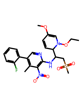 CCON1C=C(OC)C=CC1C(CS(C)(=O)=O)Nc1ncc(-c2ccccc2F)c(C)c1[N+](=O)[O-]